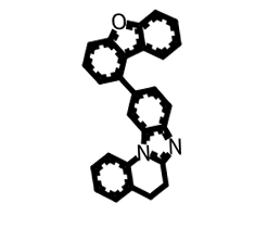 c1ccc2c(c1)CCc1nc3ccc(-c4cccc5oc6ccccc6c45)cc3n1-2